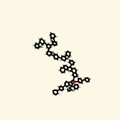 c1ccc(-c2ccc(-c3ccc4c(c3)C3(c5ccccc5Oc5ccccc53)c3cc(-c5ccc(-c6ccccc6)cc5)c(-c5ccc6ccc7c(-c8cccc(-n9c%10ccccc%10c%10cc(-c%11ccc%12c(c%11)sc%11c(-c%13cc(-c%14cccc%15c%14sc%14ccccc%14%15)cc(-c%14cccc%15c%14sc%14ccccc%14%15)c%13)cccc%11%12)ccc%109)c8)c8ccc9ccccc9c8nc7c6c5)cc3-4)cc2)cc1